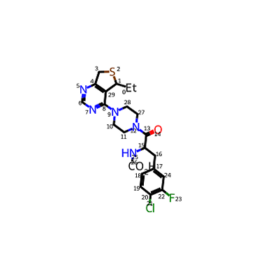 CCC1SCc2ncnc(N3CCN(C(=O)C(Cc4ccc(Cl)c(F)c4)NC(=O)O)CC3)c21